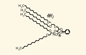 CCCCCCCCCCCCCCOC[C@H](COCC(OCc1ccccc1)C(OC[C@@H](COCCCCCCCCCCCCCC)OCCCCCCCCCCCCCC)P(=O)(O)O)OCCCCCCCCCCCCCC.N.N